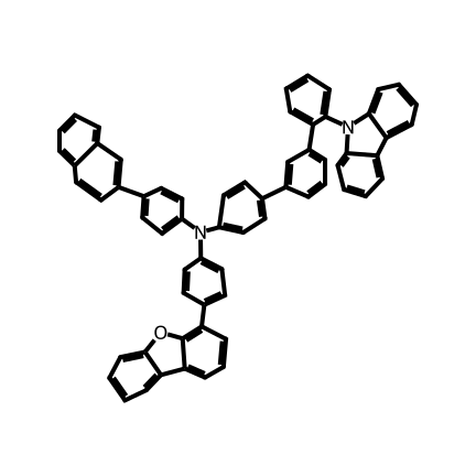 c1cc(-c2ccc(N(c3ccc(-c4ccc5ccccc5c4)cc3)c3ccc(-c4cccc5c4oc4ccccc45)cc3)cc2)cc(-c2ccccc2-n2c3ccccc3c3ccccc32)c1